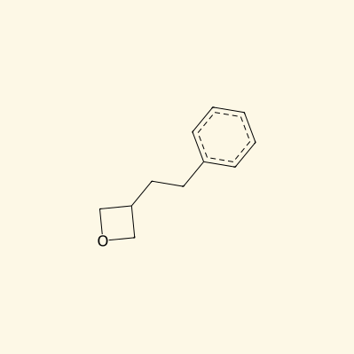 c1ccc(CCC2COC2)cc1